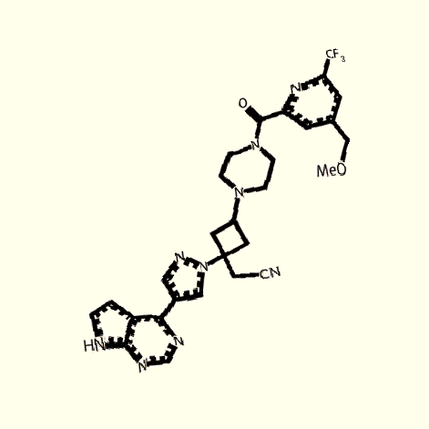 COCc1cc(C(=O)N2CCN(C3CC(CC#N)(n4cc(-c5ncnc6[nH]ccc56)cn4)C3)CC2)nc(C(F)(F)F)c1